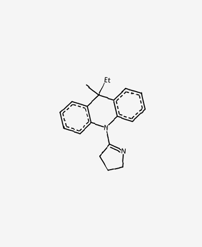 CCC1(C)c2ccccc2N(C2=NCCC2)c2ccccc21